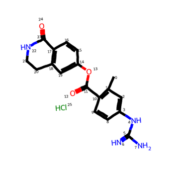 Cc1cc(NC(=N)N)ccc1C(=O)Oc1ccc2c(c1)CCNC2=O.Cl